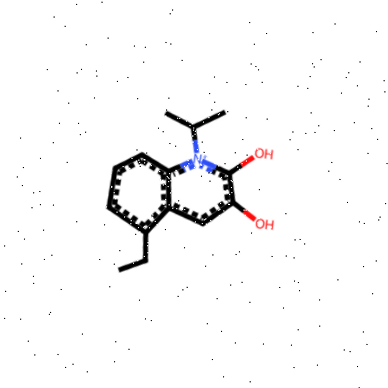 CCc1cccc2c1cc(O)c(O)[n+]2C(C)C